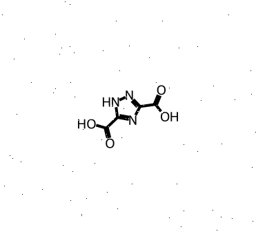 O=C(O)c1n[nH]c(C(=O)O)n1